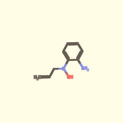 C=CCN(O)c1ccccc1N